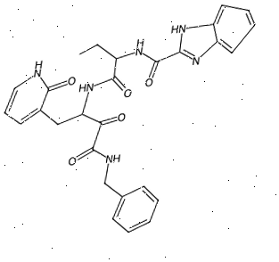 CCC(NC(=O)c1nc2ccccc2[nH]1)C(=O)NC(Cc1ccc[nH]c1=O)C(=O)C(=O)NCc1ccccc1